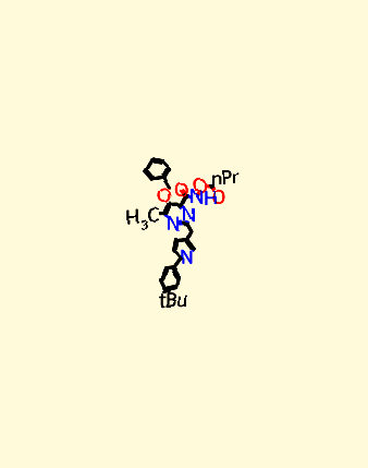 CCCC(=O)ONC(=O)c1nc(Cc2ccc(-c3ccc(C(C)(C)C)cc3)nc2)nc(C)c1OCc1ccccc1